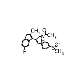 CC(=O)NCC(=Cc1ccc([S+](C)[O-])cc1)C1=C(C)Cc2ccc(F)cc21